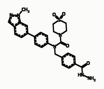 Cn1ncc2ccc(-c3ccc(N(Cc4ccc(C(=O)NN)cc4)C(=O)N4CCS(=O)(=O)CC4)cc3)cc21